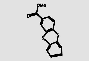 COC(=O)c1ccc2c(c1)Sc1ccccc1S2